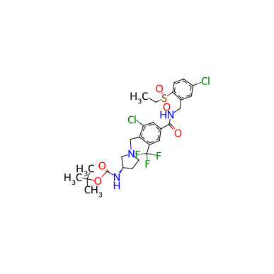 CCS(=O)(=O)c1ccc(Cl)cc1CNC(=O)c1cc(Cl)c(CN2CC[C@@H](NC(=O)OC(C)(C)C)C2)c(C(F)(F)F)c1